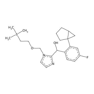 CS(C)(C)CCOCn1ccnc1C(O)c1ccc(F)cc1C12CCCC1C2